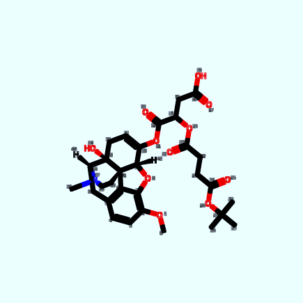 COc1ccc2c3c1O[C@H]1C(OC(=O)C(CC(=O)O)OC(=O)CCC(=O)OC(C)(C)C)=CC[C@@]4(O)[C@@H](C2)N(C)CC[C@]314